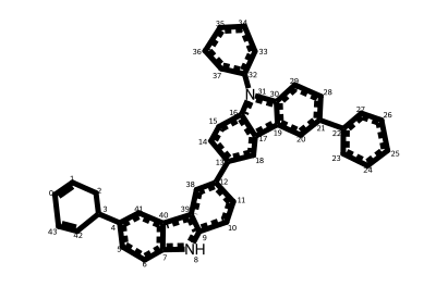 C1=CCC(c2ccc3[nH]c4ccc(-c5ccc6c(c5)c5cc(-c7ccccc7)ccc5n6-c5ccccc5)cc4c3c2)C=C1